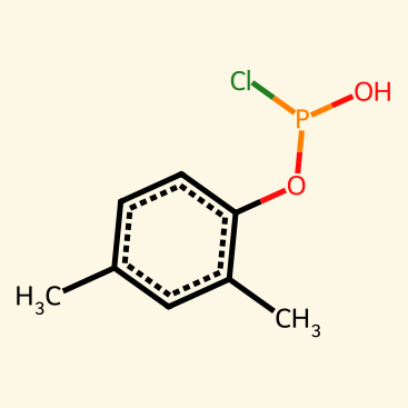 Cc1ccc(OP(O)Cl)c(C)c1